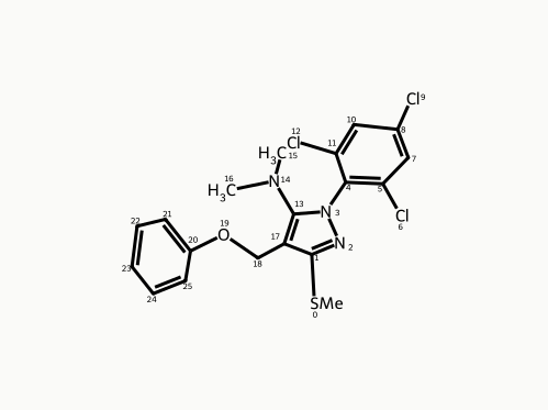 CSc1nn(-c2c(Cl)cc(Cl)cc2Cl)c(N(C)C)c1COc1ccccc1